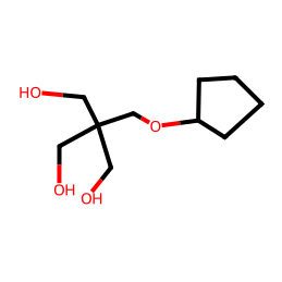 OCC(CO)(CO)COC1CCCC1